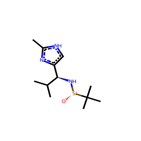 Cc1nc([C@@H](N[S@@+]([O-])C(C)(C)C)C(C)C)c[nH]1